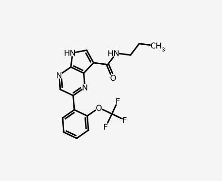 CCCNC(=O)c1c[nH]c2ncc(-c3ccccc3OC(F)(F)F)nc12